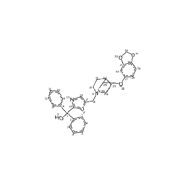 OC(c1ccccc1)(c1ccccc1)c1ncc(C[N+]23CCC(CC2)C(Oc2ccc4c(c2)OCO4)C3)o1